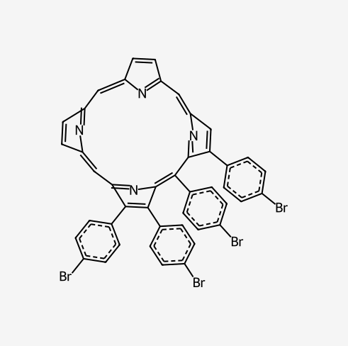 Brc1ccc(C2=CC3=CC4=NC(=CC5=NC(=CC6=NC(=C(c7ccc(Br)cc7)C2=N3)C(c2ccc(Br)cc2)=C6c2ccc(Br)cc2)C=C5)C=C4)cc1